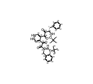 CC(C)(C)ON[C@@H](Cc1ccccc1)C(=O)C(=O)C1=CNNN=C1C(=O)C(=O)[C@H](Cc1ccccc1)NOC(C)(C)C